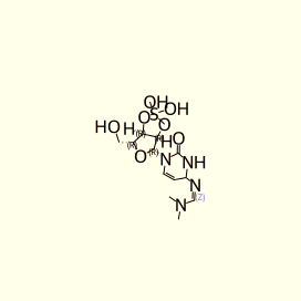 CN(C)/C=N\C1C=CN([C@@H]2O[C@H](CO)[C@H]3OS(O)(O)O[C@H]32)C(=O)N1